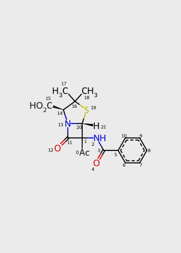 CC(=O)C1(NC(=O)c2ccccc2)C(=O)N2[C@@H](C(=O)O)C(C)(C)S[C@@H]21